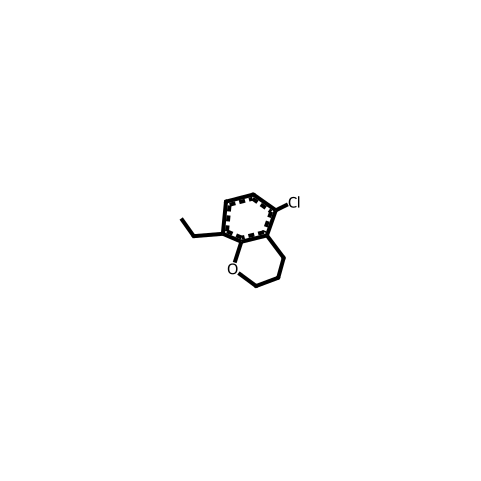 CCc1ccc(Cl)c2c1OCCC2